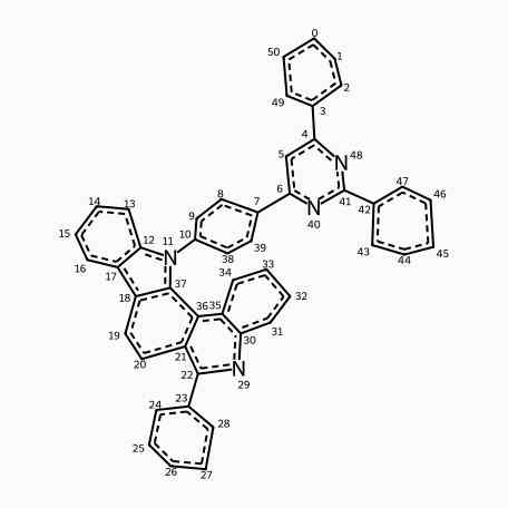 c1ccc(-c2cc(-c3ccc(-n4c5ccccc5c5ccc6c(-c7ccccc7)nc7ccccc7c6c54)cc3)nc(-c3ccccc3)n2)cc1